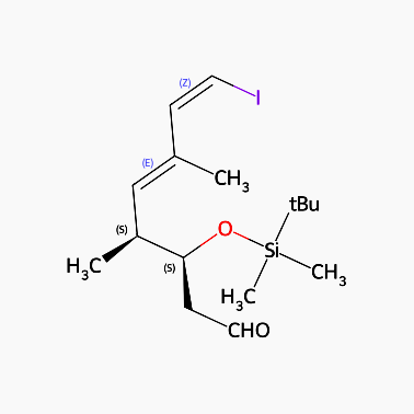 CC(/C=C\I)=C\[C@H](C)[C@H](CC=O)O[Si](C)(C)C(C)(C)C